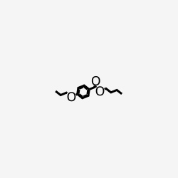 CCCCOC(=O)c1ccc(OCCC)cc1